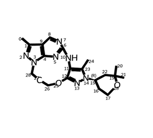 Cc1nn2c3nc(ncc13)Nc1c(nn([C@@H]3CCOC(C)(C)C3)c1C)OCCC2